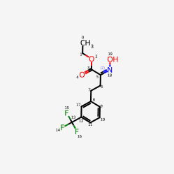 CCOC(=O)/C(CCc1cccc(C(F)(F)F)c1)=N\O